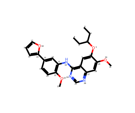 CCC(CC)Oc1cc2c(Nc3cc(-c4ccco4)ccc3OC)ncnc2cc1OC